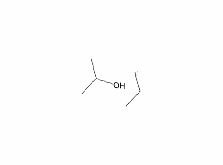 CC(C)O.[CH2]CC